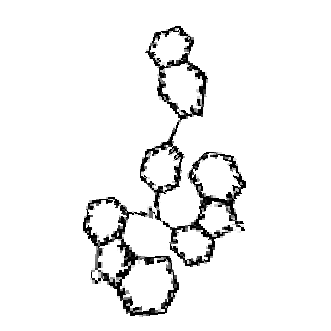 c1ccc2cc(-c3ccc(N(c4cccc5oc6ccccc6c45)c4cccc5sc6ccccc6c45)cc3)ccc2c1